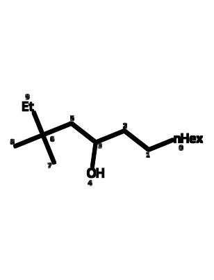 CCCCCCCCC(O)CC(C)(C)CC